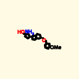 COc1cccc(COC[C@@H]2CCc3cc([C@H]4CC[C@](N)(CO)C4)ccc3C2)c1